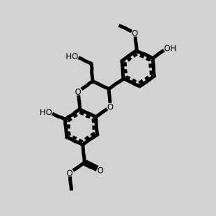 COC(=O)c1cc(O)c2c(c1)OC(c1ccc(O)c(OC)c1)C(CO)O2